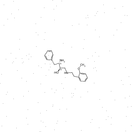 COc1ccccc1CCNC[C@@H](O)[C@@H](N)Cc1ccccc1